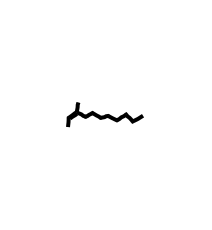 C/C=C(/C)CCCCCCCC